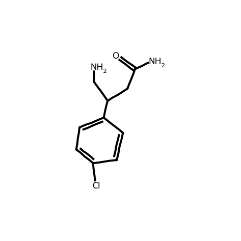 NCC(CC(N)=O)c1ccc(Cl)cc1